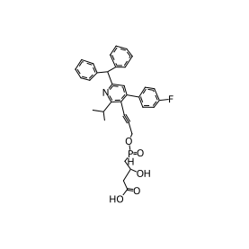 CC(C)c1nc(C(c2ccccc2)c2ccccc2)cc(-c2ccc(F)cc2)c1C#CCO[PH](=O)CC(O)CC(=O)O